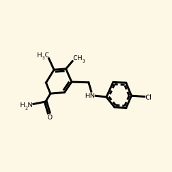 CC1=C(C)C(CNc2ccc(Cl)cc2)=CC(C(N)=O)[CH]1